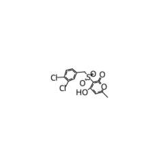 Cc1cc(O)c(S(=O)(=O)Cc2ccc(Cl)c(Cl)c2)c(=O)o1